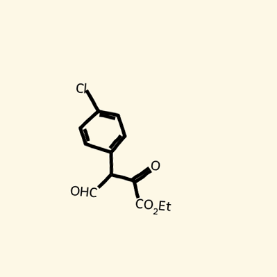 CCOC(=O)C(=O)C(C=O)c1ccc(Cl)cc1